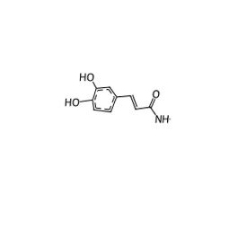 [NH]C(=O)C=Cc1ccc(O)c(O)c1